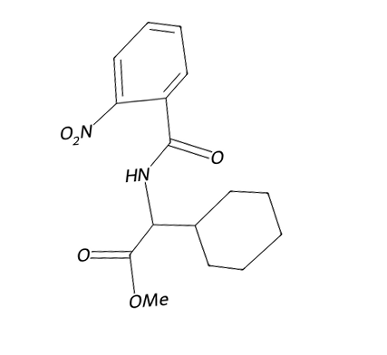 COC(=O)C(NC(=O)c1ccccc1[N+](=O)[O-])C1CCCCC1